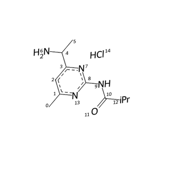 Cc1cc(C(C)N)nc(NC(=O)C(C)C)n1.Cl